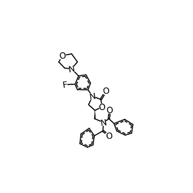 O=C(c1ccccc1)N(C[C@H]1CN(c2ccc(N3CCOCC3)c(F)c2)C(=O)O1)C(=O)c1ccccc1